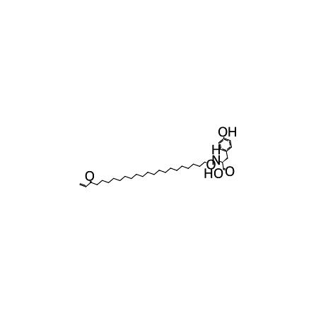 C=CC(=O)CCCCCCCCCCCCCCCCCCCCON[C@@H](Cc1ccc(O)cc1)C(=O)O